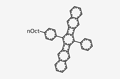 CCCCCCCCc1ccc(-c2c3c4cc5ccccc5cc4c3c(-c3ccccc3)c3c4cc5ccccc5cc4c23)cc1